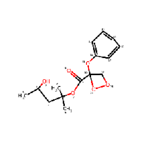 CC(O)CC(C)(C)OC(=O)C1(Oc2ccccc2)COO1